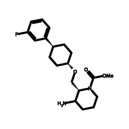 COC(=O)N1CCCC(N)[C@@H]1CO[C@H]1CC[C@@H](c2cccc(F)c2)CC1